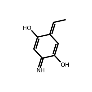 CC=C1C=C(O)C(=N)C=C1O